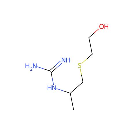 CC(CSCCO)NC(=N)N